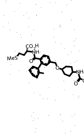 CSCC[C@H](NC(=O)c1ccc(COC2CCC(NC(=O)OC(C)(C)C)CC2)cc1-c1ccccc1C)C(=O)O